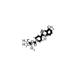 Cc1cccc(NC(=O)C2CCN(C(=O)OC(C)(C)C)CC2)c1Br